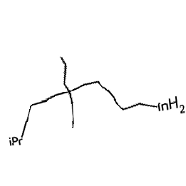 CC(C)CC(C)(C)C[CH2][InH2]